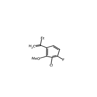 C=C(CC)c1ccc(F)c(Cl)c1OC